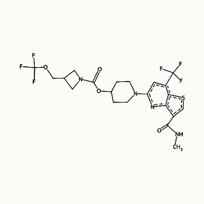 CNC(=O)c1csc2c(C(F)(F)F)cc(N3CCC(OC(=O)N4CC(COC(F)(F)F)C4)CC3)nc12